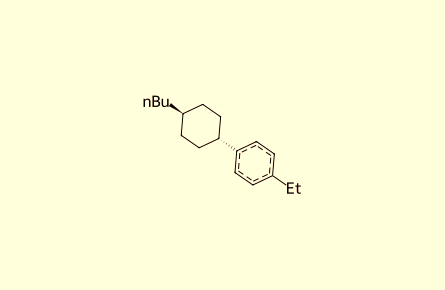 CCCC[C@H]1CC[C@H](c2ccc(CC)cc2)CC1